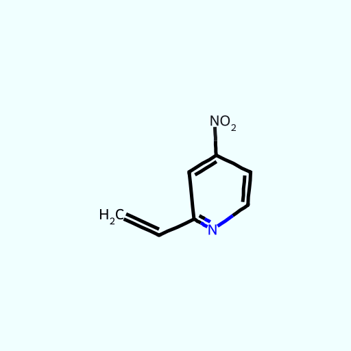 C=Cc1cc([N+](=O)[O-])ccn1